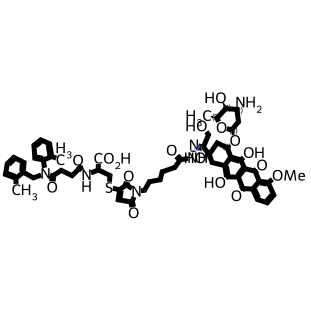 COc1cccc2c1C(=O)c1c(O)c3c(c(O)c1C2=O)C[C@](O)(/C(CO)=N\NC(=O)CCCCCN1C(=O)C=C(SCC(NC(=O)CCC(=O)N(Cc2ccccc2C)c2ccccc2C)C(=O)O)C1=O)C[C@H]3O[C@@H]1C[C@@H](N)[C@@H](O)[C@@H](C)O1